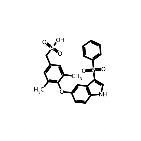 Cc1cc(CS(=O)(=O)O)cc(C)c1Oc1ccc2[nH]cc(S(=O)(=O)c3ccccc3)c2c1